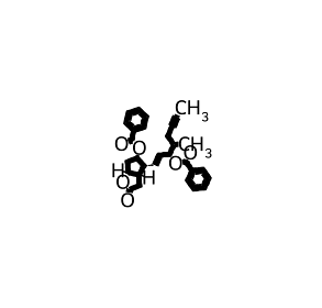 CC#CCC(C)[C@@H](/C=C/[C@@H]1[C@H]2CC(=O)O[C@H]2C[C@H]1OC(=O)c1ccccc1)OC(=O)c1ccccc1